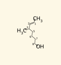 CC=CC(C)CCCCO